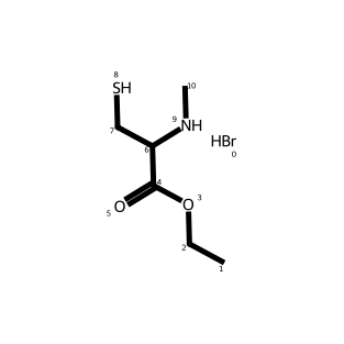 Br.CCOC(=O)C(CS)NC